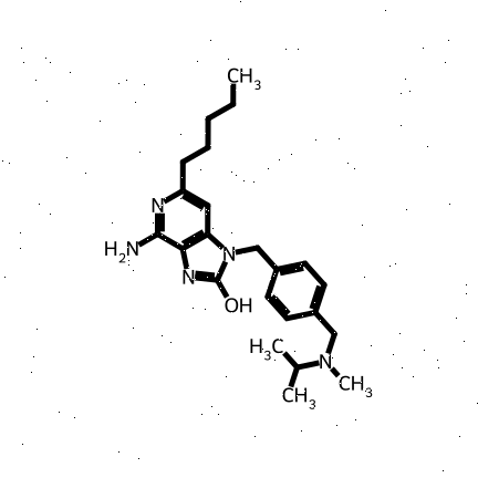 CCCCCc1cc2c(nc(O)n2Cc2ccc(CN(C)C(C)C)cc2)c(N)n1